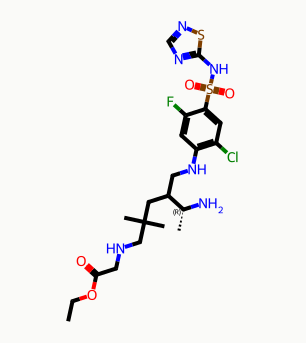 CCOC(=O)CNCC(C)(C)CC(CNc1cc(F)c(S(=O)(=O)Nc2ncns2)cc1Cl)[C@@H](C)N